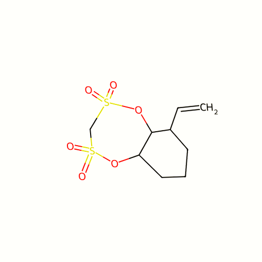 C=CC1CCCC2OS(=O)(=O)CS(=O)(=O)OC12